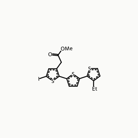 CCc1ccsc1-c1ccc(-c2sc(I)cc2CC(=O)OC)s1